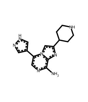 Nc1ncc(-c2cn[nH]c2)n2cc(C3CCNCC3)nc12